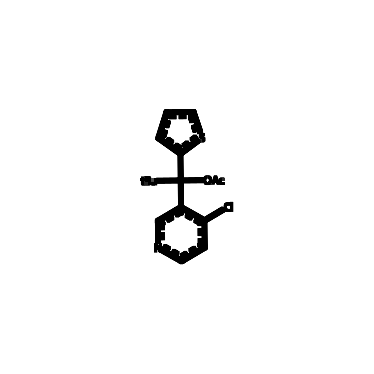 CC(=O)OC(c1cccs1)(c1cnccc1Cl)C(C)(C)C